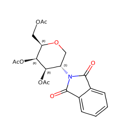 CC(=O)OC[C@H]1OC[C@H](N2C(=O)c3ccccc3C2=O)[C@@H](OC(C)=O)[C@H]1OC(C)=O